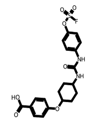 O=C(Nc1ccc(OS(=O)(=O)F)cc1)NC1CCC(Oc2ccc(C(=O)O)cc2)CC1